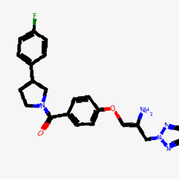 NC(COc1ccc(C(=O)N2CCC(c3ccc(F)cc3)C2)cc1)Cn1nccn1